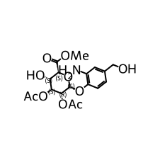 COC(=O)[C@H]1O[C@@H](Oc2ccc(CO)cc2N)[C@H](OC(C)=O)[C@@H](OC(C)=O)[C@@H]1O